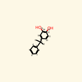 CC(C)(c1ccccc1)c1ccc(O)c(O)c1